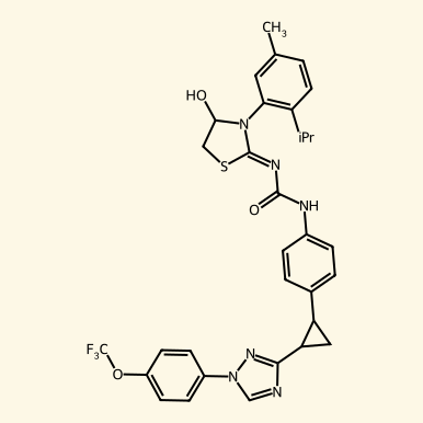 Cc1ccc(C(C)C)c(N2/C(=N/C(=O)Nc3ccc(C4CC4c4ncn(-c5ccc(OC(F)(F)F)cc5)n4)cc3)SCC2O)c1